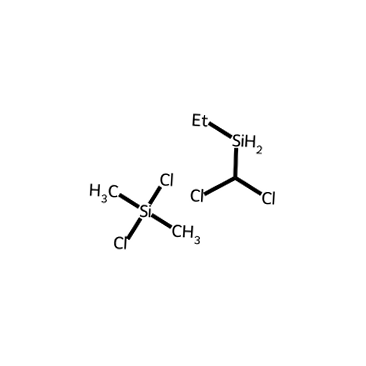 CC[SiH2]C(Cl)Cl.C[Si](C)(Cl)Cl